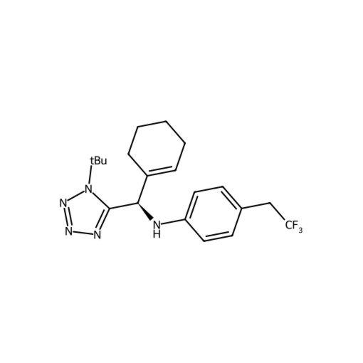 CC(C)(C)n1nnnc1[C@H](Nc1ccc(CC(F)(F)F)cc1)C1=CCCCC1